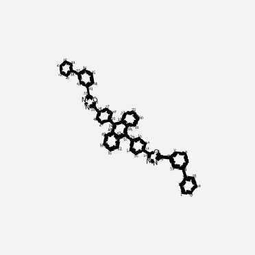 c1ccc(-c2cccc(-c3nnc(-c4ccc(-c5c6ccccc6c(-c6ccc(-c7nnc(-c8cccc(-c9ccccc9)c8)o7)cc6)c6ccccc56)cc4)o3)c2)cc1